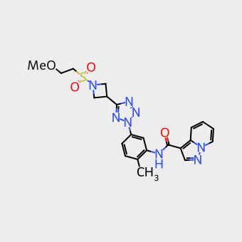 COCCS(=O)(=O)N1CC(c2nnn(-c3ccc(C)c(NC(=O)c4cnn5ccccc45)c3)n2)C1